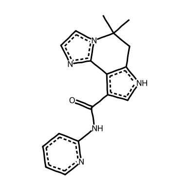 CC1(C)Cc2[nH]cc(C(=O)Nc3ccccn3)c2-c2nccn21